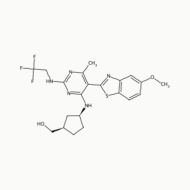 COc1ccc2sc(-c3c(C)nc(NCC(F)(F)F)nc3N[C@H]3CC[C@@H](CO)C3)nc2c1